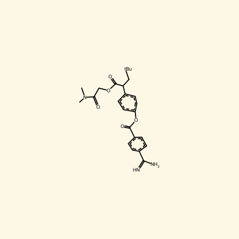 CN(C)C(=O)COC(=O)C(CC(C)(C)C)c1ccc(OC(=O)c2ccc(C(=N)N)cc2)cc1